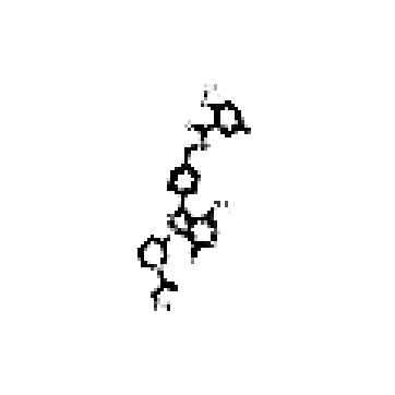 COc1ccc(F)cc1C(=O)NCc1ccc(-c2nn(C3CCCN(C(=O)CO)C3)c3c(=O)[nH]nc(N)c23)cc1